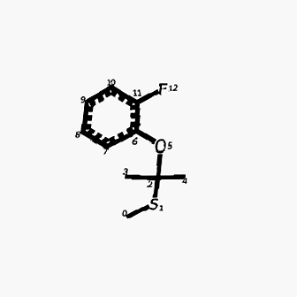 CSC(C)(C)Oc1ccccc1F